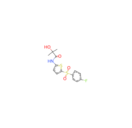 CC(C)(O)C(=O)Nc1ccc(S(=O)(=O)c2ccc(F)cc2)s1